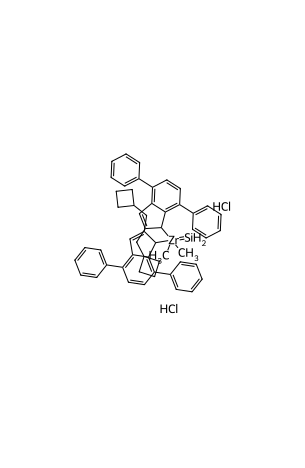 Cl.Cl.[CH3][Zr]([CH3])(=[SiH2])([CH]1C(CC2CCC2)=Cc2c(-c3ccccc3)ccc(-c3ccccc3)c21)[CH]1C(CC2CCC2)=Cc2c(-c3ccccc3)ccc(-c3ccccc3)c21